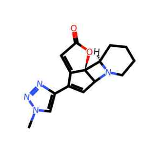 Cn1cc(C2=CC3N4CCCC[C@@H]4[C@]34OC(=O)C=C24)nn1